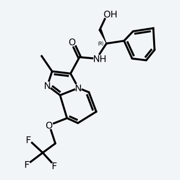 Cc1nc2c(OCC(F)(F)F)cccn2c1C(=O)N[C@@H](CO)c1ccccc1